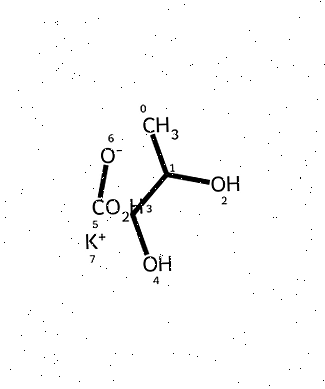 CC(O)CO.O=C([O-])O.[K+]